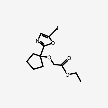 CCOC(=O)COC1(c2ncc(I)o2)CCCC1